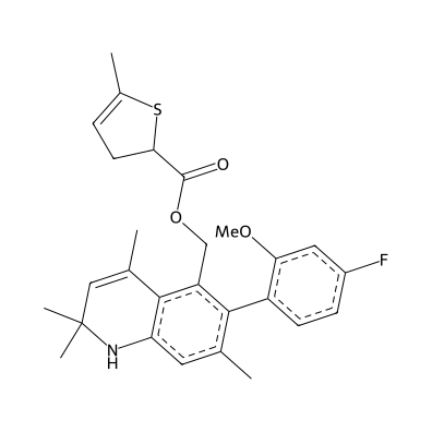 COc1cc(F)ccc1-c1c(C)cc2c(c1COC(=O)C1CC=C(C)S1)C(C)=CC(C)(C)N2